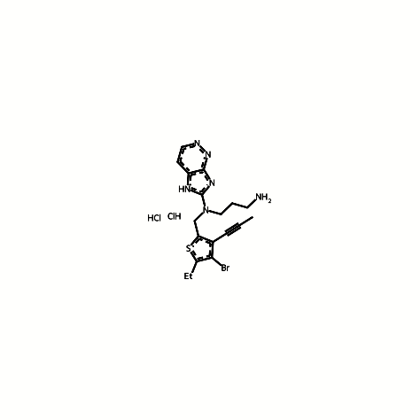 CC#Cc1c(CN(CCCN)c2nc3nnccc3[nH]2)sc(CC)c1Br.Cl.Cl